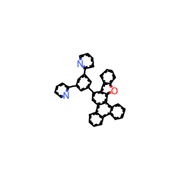 c1ccc(-c2cc(-c3ccccn3)cc(-c3cc4c5ccccc5c5ccccc5c4c4oc5ccccc5c34)c2)nc1